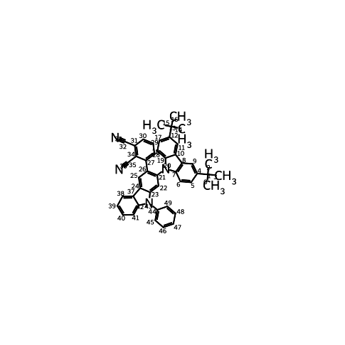 CC(C)(C)c1ccc2c(c1)c1cc(C(C)(C)C)ccc1n2-c1cc2c(cc1-c1cccc(C#N)c1C#N)c1ccccc1n2-c1ccccc1